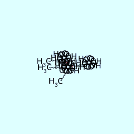 CCCCCCCCCC(=O)OC(=O)c1c(C(=O)O)c(C(=O)O)c(C(=O)O)c(C(=O)O)c1C(=O)OCCCCCCCC.CCCCCCCCOC(=O)c1c(C(=O)O)c(C(=O)O)c(C(=O)O)c(C(=O)O)c1C(=O)O.CCCCCCCCOC(=O)c1c(C(=O)O)c(C(=O)O)c(C(=O)O)c(C(=O)O)c1C(=O)O